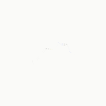 C=C=CS/N=C\N